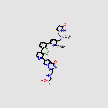 COc1nc(-c2cccc(-c3ccnc(-c4cc5c(=O)n(C)c(CNC[C@H](C)O)nn5c4)c3Cl)c2Cl)ccc1CN(C[C@@H]1CCC(=O)N1)C(=O)O